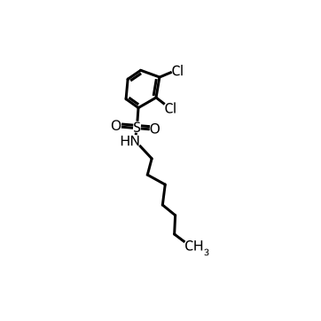 CCCCCCCNS(=O)(=O)c1cccc(Cl)c1Cl